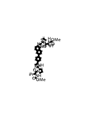 COC(=O)NC(C(=O)N1CCC[C@H]1c1ncc(-c2ccc(-c3ccc4c(ccc5nc([C@@H]6SCCN6C(=O)[C@@H](NC(=O)OC)C(C)C)[nH]c54)c3)cc2)[nH]1)C(C)C